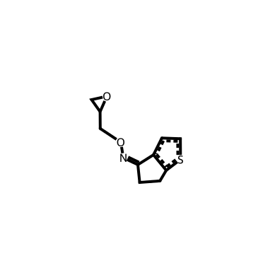 c1cc2c(s1)CCC2=NOCC1CO1